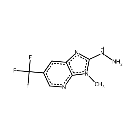 Cn1c(NN)nc2cc(C(F)(F)F)cnc21